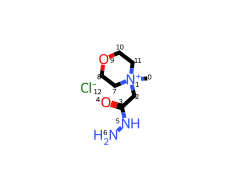 C[N+]1(CC(=O)NN)CCOCC1.[Cl-]